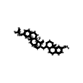 C=CN(CC1CCCC2(C)c3cc(N)ccc3CCC12)C(=C)[C@@]1(C)CCCC2(C)c3cc(NC(=C)C)ccc3CCC21